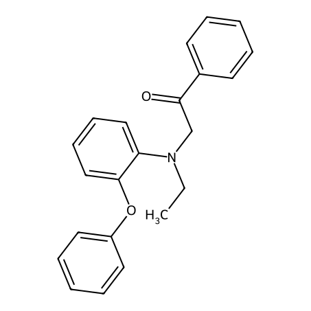 CCN(CC(=O)c1ccccc1)c1ccccc1Oc1ccccc1